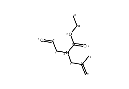 C=C(C)CN(CC=O)C(=O)OCC